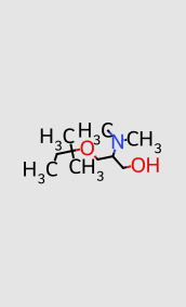 CCC(C)(C)OCC(CO)N(C)C